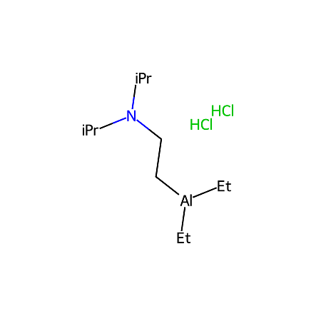 C[CH2][Al]([CH2]C)[CH2]CN(C(C)C)C(C)C.Cl.Cl